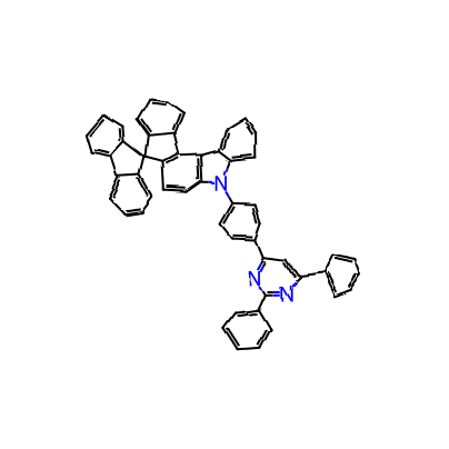 c1ccc(-c2cc(-c3ccc(-n4c5ccccc5c5c6c(ccc54)C4(c5ccccc5-c5ccccc54)c4ccccc4-6)cc3)nc(-c3ccccc3)n2)cc1